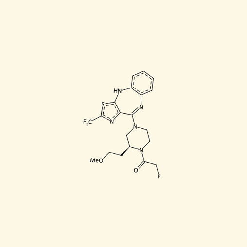 COCC[C@H]1CN(C2=Nc3ccccc3Nc3sc(C(F)(F)F)nc32)CCN1C(=O)CF